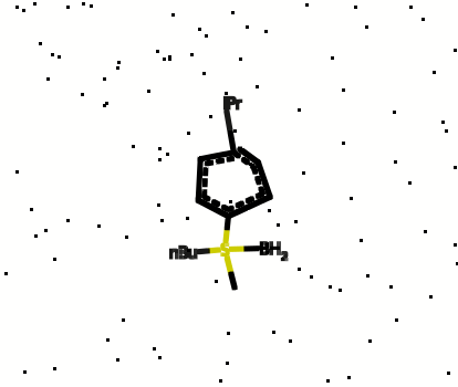 BS(C)(CCCC)c1ccc(C(C)C)cc1